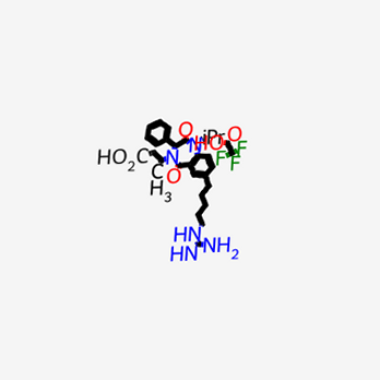 CC(C)N1C(=O)C(c2ccccc2)N(C(C)CC(=O)O)C(=O)c2cc(CCCCCNC(=N)N)ccc21.O=C(O)C(F)(F)F